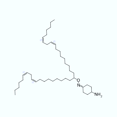 CCCCC/C=C\C/C=C\CCCCCCCCC(CCCCCCCC/C=C\C/C=C\CCCCC)ON=C1CCC(N)CC1